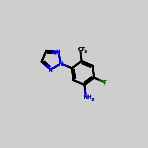 Nc1cc(-n2nccn2)c(C(F)(F)F)cc1F